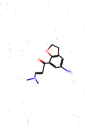 CN(C)C=CC(=O)c1cc(N)cc2c1OCC2